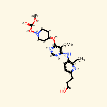 COc1c(Nc2ccc(CCCO)nc2C)ncnc1OC1CCN(OC(=O)OC(C)C)CC1